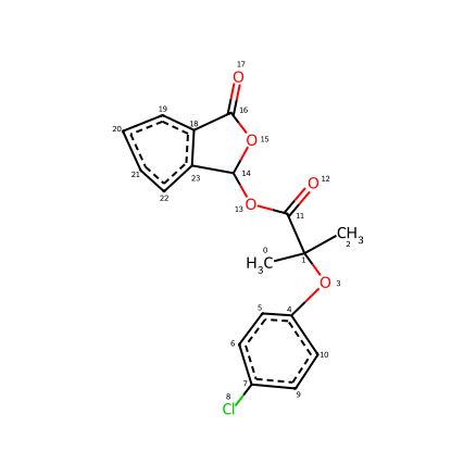 CC(C)(Oc1ccc(Cl)cc1)C(=O)OC1OC(=O)c2ccccc21